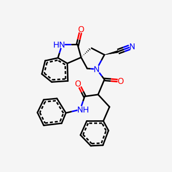 N#C[C@@H]1C[C@@]2(CN1C(=O)C(Cc1ccccc1)C(=O)Nc1ccccc1)C(=O)Nc1ccccc12